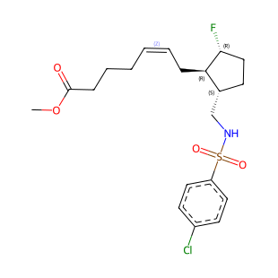 COC(=O)CCC/C=C\C[C@@H]1[C@@H](CNS(=O)(=O)c2ccc(Cl)cc2)CC[C@H]1F